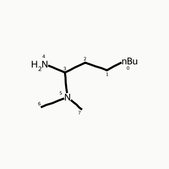 CCCCCCC(N)N(C)C